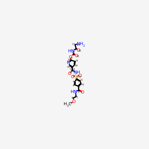 COCCNC(=O)c1ccc(S(=O)(=O)NC(=O)c2ccc(OC(=O)NC(=O)CN)nc2)cc1